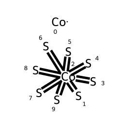 [Co].[S]=[Co](=[S])(=[S])(=[S])(=[S])(=[S])(=[S])=[S]